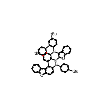 CC(C)(C)c1ccc(N2B3c4oc5ccccc5c4N(c4ccc(C(C)(C)C)cc4-c4ccccc4)c4cc(C(C)(C)C)cc(c43)-c3c2ccc2oc4ccccc4c32)cc1